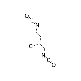 O=C=NCCC(Cl)CN=C=O